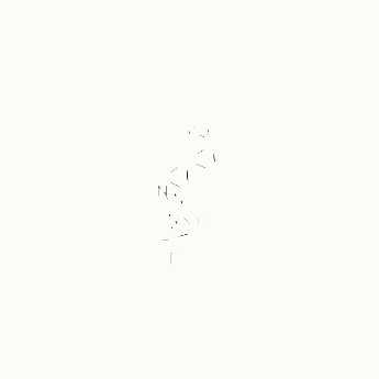 CCOC(=O)c1cccc(-c2ccc3nc(C)n(Cc4ncc(C(F)(F)F)cc4Cl)c3c2)c1